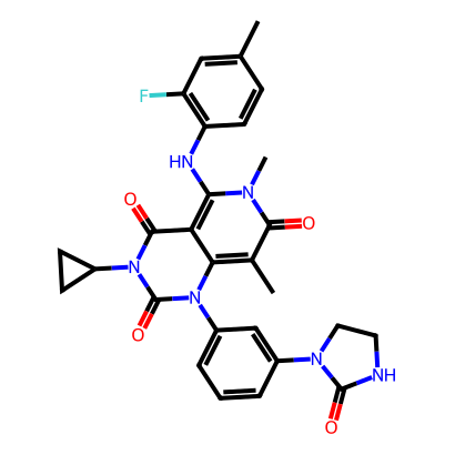 Cc1ccc(Nc2c3c(=O)n(C4CC4)c(=O)n(-c4cccc(N5CCNC5=O)c4)c3c(C)c(=O)n2C)c(F)c1